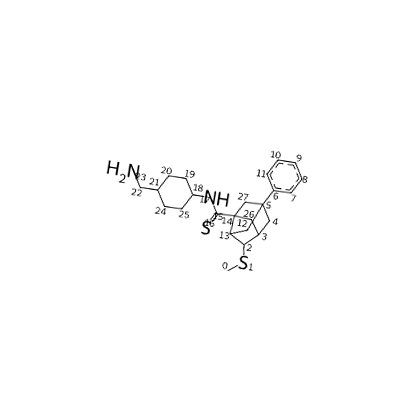 CSC1C2CC3(c4ccccc4)CC1C(C(=S)NC1CCC(CN)CC1)(C2)C3